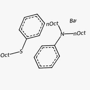 CCCCCCCCN(CCCCCCCC)c1ccccc1.CCCCCCCCSc1ccccc1.[Ba]